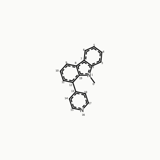 Cn1c2ccccc2c2cccc(-c3ccncc3)c21